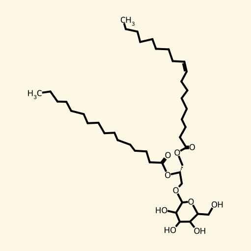 CCCCCCCC/C=C\CCCCCCCC(=O)OC[C@H](COC1OC(CO)C(O)C(O)C1O)OC(=O)CCCCCCCCCCCCCCC